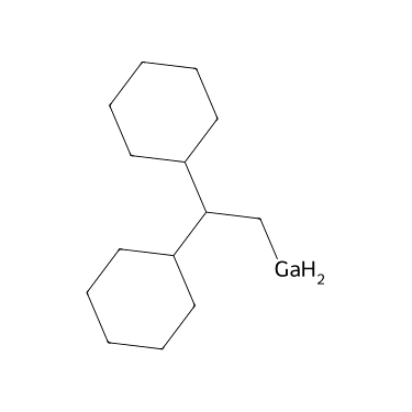 [GaH2][CH2]C(C1CCCCC1)C1CCCCC1